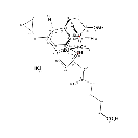 CO[C@]12CC[C@@]3(C[C@@H]1[C@](C)(O)C(C)(C)C)[C@H]1Cc4ccc(OC(=O)CCCCC(=O)O)c5c4[C@@]3(CCN1CC1CC1)[C@H]2O5.Cl